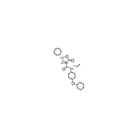 C=CC[C@@H](C(=O)N1C(=O)O[C@@H](c2ccccc2)[C@H]1C)c1ccc(Oc2ccccc2)cc1